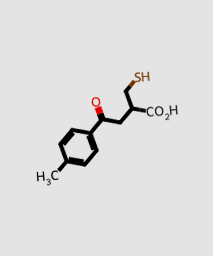 Cc1ccc(C(=O)CC(CS)C(=O)O)cc1